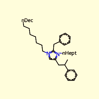 CCCCCCCCCCCCCCCCCn1cc(CC(C)c2ccccc2)[n+](CCCCCCC)c1Cc1ccccc1